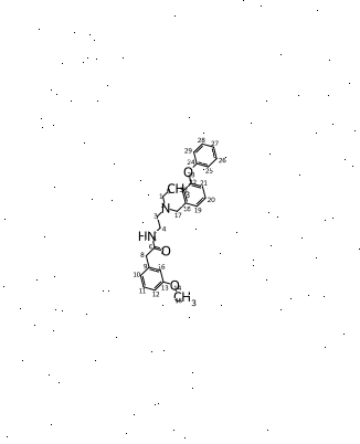 CCN(CCNC(=O)Cc1cccc(OC)c1)Cc1cccc(Oc2ccccc2)c1